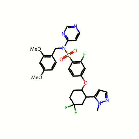 COc1ccc(CN(c2ccncn2)S(=O)(=O)c2ccc(OC3CCC(F)(F)CC3c3ccnn3C)cc2F)c(OC)c1